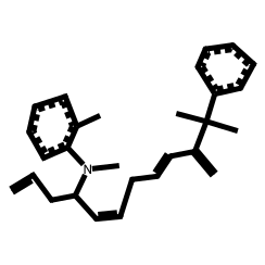 C=CCC(/C=C\C/C=C/C(=C)C(C)(C)c1ccccc1)N(C)c1ccccc1C